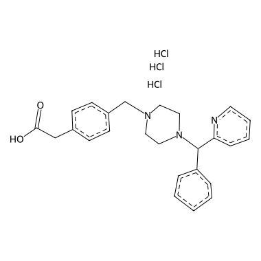 Cl.Cl.Cl.O=C(O)Cc1ccc(CN2CCN(C(c3ccccc3)c3ccccn3)CC2)cc1